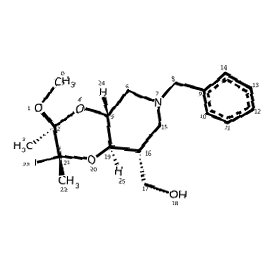 CO[C@@]1(C)O[C@@H]2CN(Cc3ccccc3)C[C@H](CO)[C@H]2O[C@]1(C)I